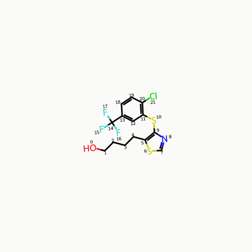 OCCCCc1scnc1Sc1cc(C(F)(F)F)ccc1Cl